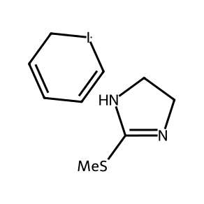 C1=CC[I]C=C1.CSC1=NCCN1